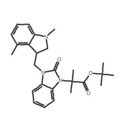 Cc1cccc2c1C(Cn1c(=O)n(C(C)(C)C(=O)OC(C)(C)C)c3ccccc31)CN2C